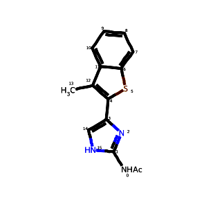 CC(=O)Nc1nc(-c2sc3ccccc3c2C)c[nH]1